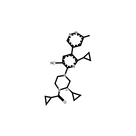 Cc1cc(-c2cc(C#N)c(N3CCN(C(=O)C4CC4)[C@H](C4CC4)C3)nc2C2CC2)cnn1